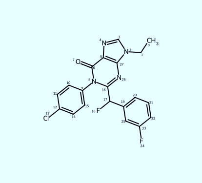 CCn1cnc2c(=O)n(-c3ccc(Cl)cc3)c(C(F)c3cccc(F)c3)nc21